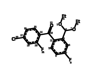 CCOC(OCC)c1cc(F)ccc1C(=O)c1ccc(Cl)cc1F